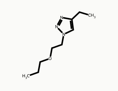 CCCOCCn1cc(CC)nn1